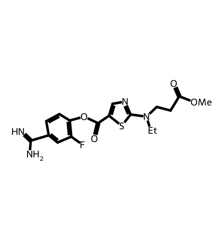 CCN(CCC(=O)OC)c1ncc(C(=O)Oc2ccc(C(=N)N)cc2F)s1